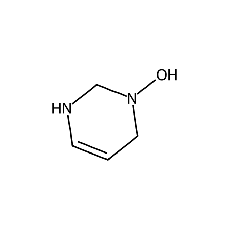 ON1CC=CNC1